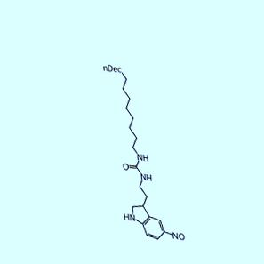 CCCCCCCCCCCCCCCCCCNC(=O)NCCC1CNc2ccc(N=O)cc21